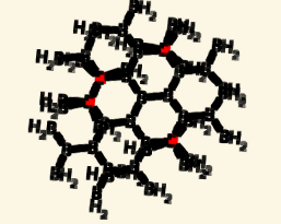 BB(B)B(B)B(B(B(B)B)B(B)B)B(B(B(B)B)B(B)B)B(B(B(B(B)B)B(B)B)B(B(B)B)B(B)B)B(B(B(B)B)B(B)B)B(B(B)B)B(B)B